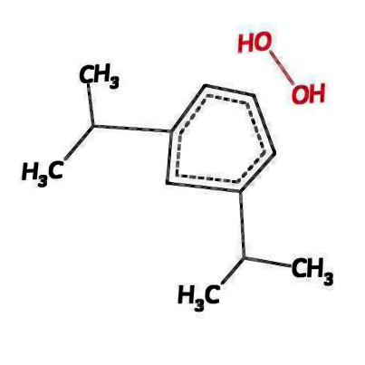 CC(C)c1cccc(C(C)C)c1.OO